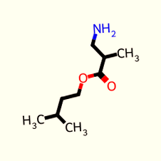 CC(C)CCOC(=O)C(C)CN